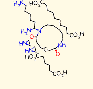 C1CN1.C1CN1.NCCCCCC(N)N1CCCCCCNC(=O)CCCCC1=O.O=C(O)CCCCC(=O)O.O=C(O)CCCCCCCCC(=O)O